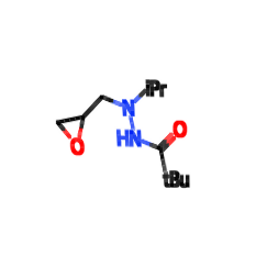 CC(C)N(CC1CO1)NC(=O)C(C)(C)C